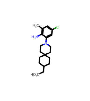 Cc1cc(Cl)cc(N2CCC3(CCC(CC(=O)O)CC3)CC2)c1N